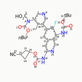 CCCCOC(=O)N(C(=O)O)c1cncc(-c2cc3cc(NC(=O)OC4CC(C#N)C4)ncc3c(NC(=O)OC(C)(C)C)c2F)c1C